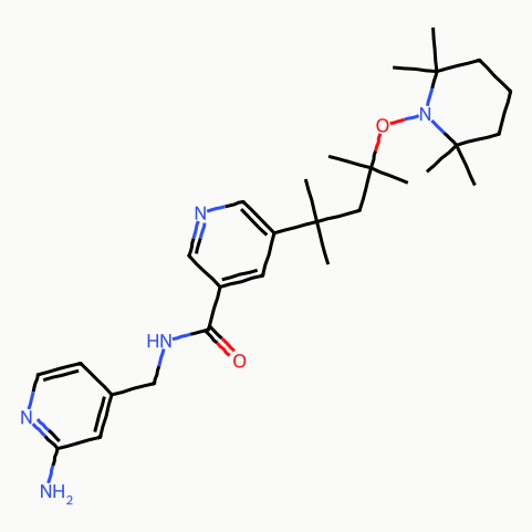 CC(C)(CC(C)(C)c1cncc(C(=O)NCc2ccnc(N)c2)c1)ON1C(C)(C)CCCC1(C)C